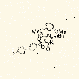 CCCCc1nc(=O)c(S(=O)(=O)c2ccc(-c3ccc(F)cc3)cc2)c(O)n1-c1c(OC)cccc1OC